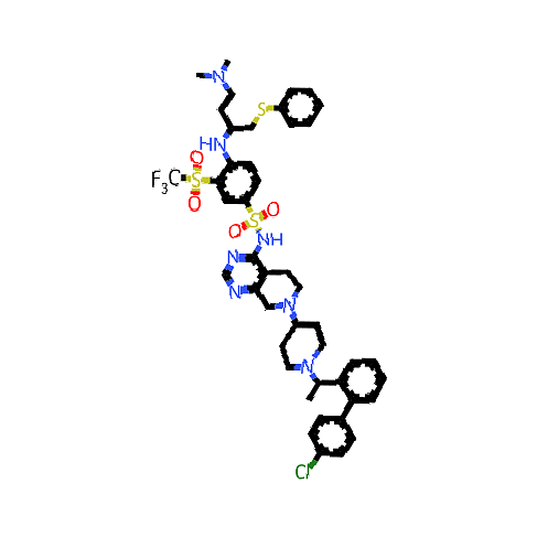 CC(c1ccccc1-c1ccc(Cl)cc1)N1CCC(N2CCc3c(ncnc3NS(=O)(=O)c3ccc(NC(CCN(C)C)CSc4ccccc4)c(S(=O)(=O)C(F)(F)F)c3)C2)CC1